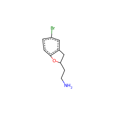 NCCC1Cc2cc(Br)ccc2O1